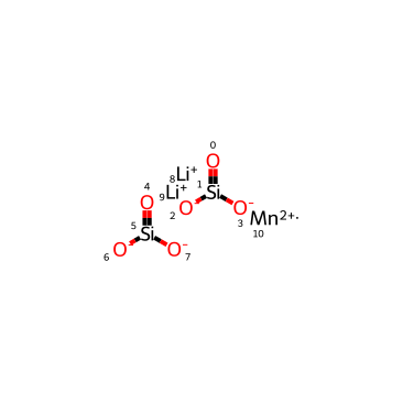 O=[Si]([O-])[O-].O=[Si]([O-])[O-].[Li+].[Li+].[Mn+2]